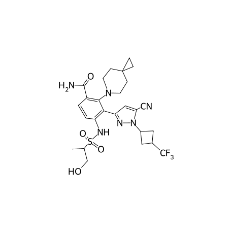 CC(CO)S(=O)(=O)Nc1ccc(C(N)=O)c(N2CCC3(CC2)CC3)c1-c1cc(C#N)n(C2CC(C(F)(F)F)C2)n1